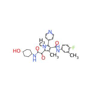 Cc1cc(NC(=O)c2c(C)c(C(=O)C(=O)N[C@H]3CC[C@@H](O)CC3)n(C)c2-c2ccncc2)ccc1F